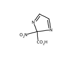 O=C(O)C1([N+](=O)[O-])N=CC=N1